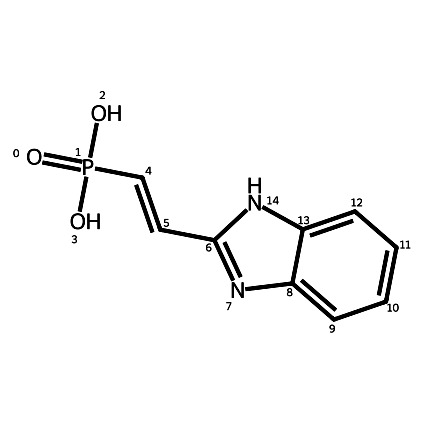 O=P(O)(O)/C=C/c1nc2ccccc2[nH]1